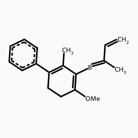 C=C/C(C)=B\C1=C(OC)CCC(c2ccccc2)=C1C